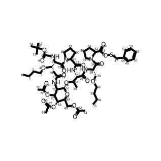 CCCCOC[C@H](NC(=O)OC(C)(C)C)C(=O)N1CCCC1C(=O)N[C@H](C(=O)N[C@@H](COCCCC)C(=O)N1CCCC1C(=O)OSCc1ccccc1)C(C)O[C@@H]1OC(COC(C)=O)[C@@H](OC(C)=O)C(OC(C)=O)C1NC(C)=O